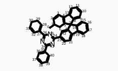 CC1C=CC2=C(C1)C1(c3ccccc32)c2ccccc2-c2ccc(-c3nc(C4=CCCC=C4)nc(-c4ccccc4)n3)cc21